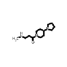 CNCCC(=O)N1CCC(N2CCCC2)CC1